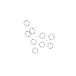 Fc1ccc(-c2ccc(C3(c4ccccc4)c4ccccc4-c4ccc(N(c5ccc(-c6ccccc6)cc5)c5ccccc5-c5ccccc5)cc43)cc2)cc1